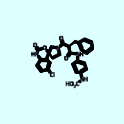 O=C(O)Nc1ccc(NC(=O)[C@H](Cc2ccccc2)C(=O)N2CC[C@]3(C2)OC(=O)Nc2ccc(Cl)cc23)cc1